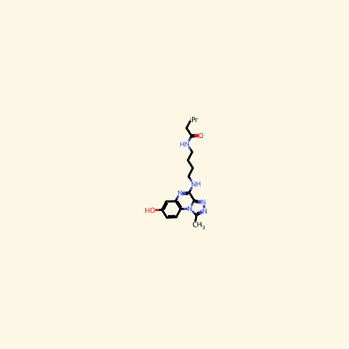 Cc1nnc2c(NCCCCNC(=O)CC(C)C)nc3cc(O)ccc3n12